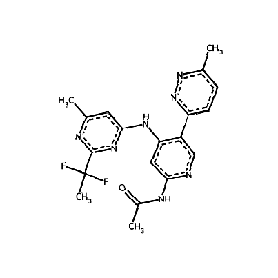 CC(=O)Nc1cc(Nc2cc(C)nc(C(C)(F)F)n2)c(-c2ccc(C)nn2)cn1